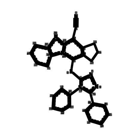 N#Cc1c2c(c(Sc3nnc(-c4ccccc4)n3-c3ccccc3)n3c1nc1ccccc13)CCC2